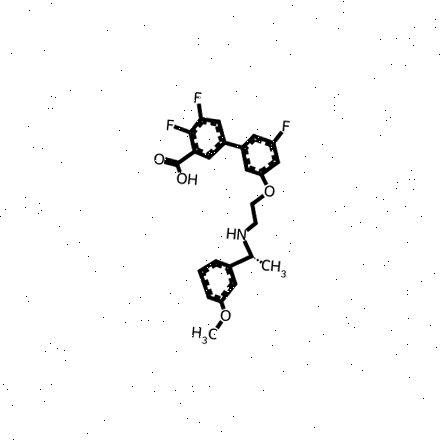 COc1cccc([C@@H](C)NCCOc2cc(F)cc(-c3cc(F)c(F)c(C(=O)O)c3)c2)c1